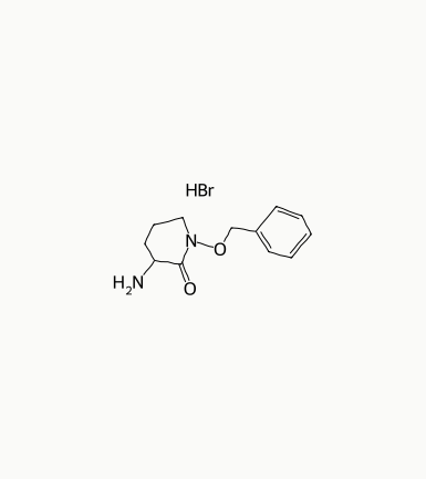 Br.NC1CCCN(OCc2ccccc2)C1=O